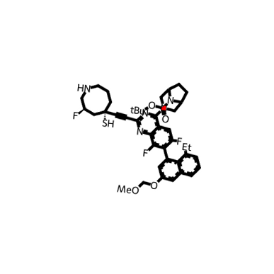 CCc1cccc2cc(OCOC)cc(-c3c(F)cc4c(N5CC6CCC(C5)N6C(=O)OC(C)(C)C)nc(C#C[C@]5(S)CCCNC[C@H](F)C5)nc4c3F)c12